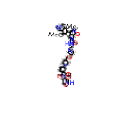 COc1cc(-c2cn(C)c(=O)c3c2CCN(C(=O)NCCN2CCC(OCC4CCN(c5ccc6c(c5)C(=O)N(C5CCC(=O)NC5=O)C6=O)CC4)C2)C3)cc(OC)c1CN(C)C